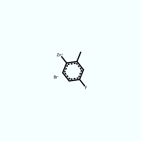 Cc1cc(F)cc[c]1[Zn+].[Br-]